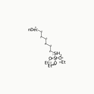 CCCCCCCCCCCCCCCC[SiH2][Si](OCC)(OCC)OCC